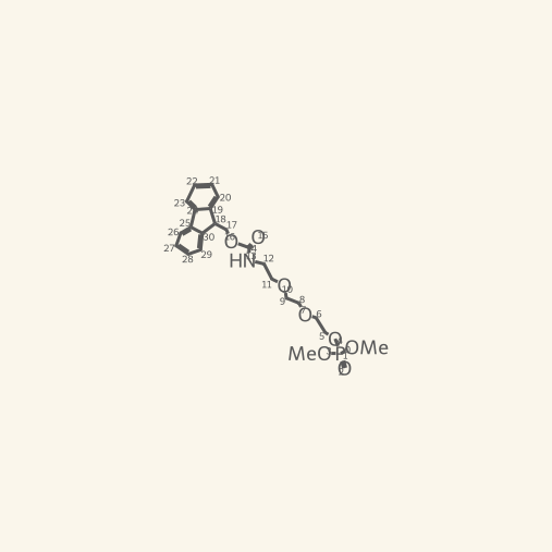 COP(=O)(OC)OCCOCCOCCNC(=O)OCC1c2ccccc2-c2ccccc21